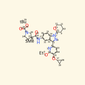 CCOc1nc(-c2nn([C@@H]3CCCCO3)c3ccc(NC(=O)[C@]4(SC)CCN(C(=O)OC(C)(C)C)C4)cc23)ccc1OC1CC1